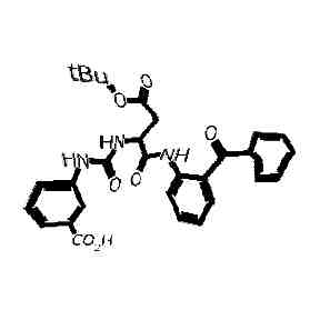 CC(C)(C)OC(=O)CC(NC(=O)Nc1cccc(C(=O)O)c1)C(=O)Nc1ccccc1C(=O)c1ccccc1